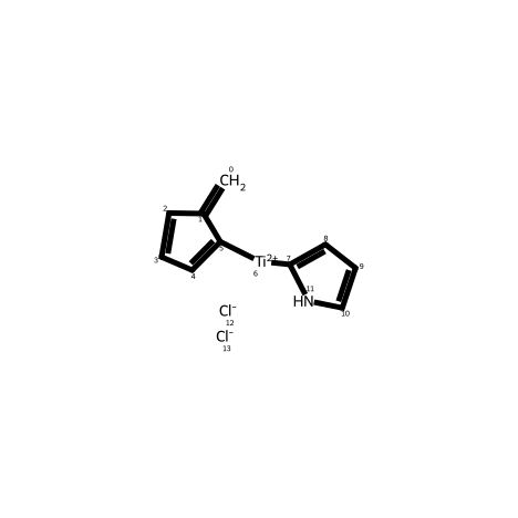 C=C1C=CC=[C]1[Ti+2][c]1ccc[nH]1.[Cl-].[Cl-]